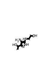 CC(O)c1n[nH]c(NCCO)c1N